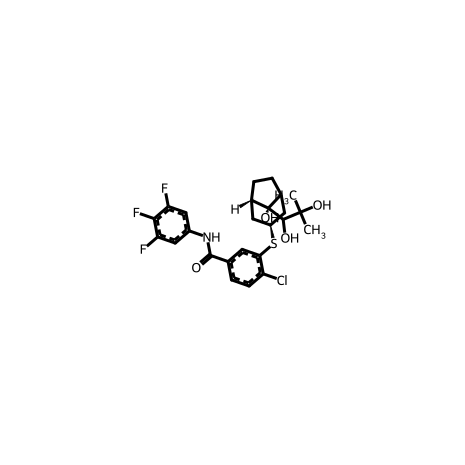 CC(C)(O)C(O)[C@]1(O)C2CC[C@H]1C[C@H](Sc1cc(C(=O)Nc3cc(F)c(F)c(F)c3)ccc1Cl)C2